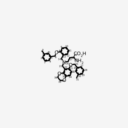 Cc1cccc(COc2ccccc2CN(CC[C@H](N)C(=O)O)Cc2c(OCc3cccc(C)c3)ccc3c2OCCO3)c1